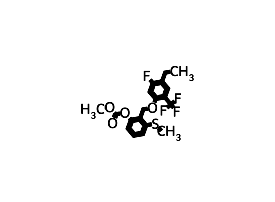 CCc1cc(C(F)(F)F)c(OCc2c(OC(=O)OC)cccc2SC)cc1F